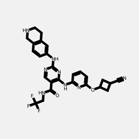 N#CC1CC(Oc2cccc(Nc3nc(Nc4ccc5c(c4)CCNC5)ncc3C(=O)NCC(F)(F)F)n2)C1